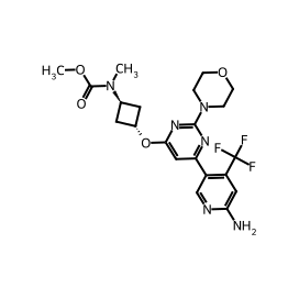 COC(=O)N(C)[C@H]1C[C@H](Oc2cc(-c3cnc(N)cc3C(F)(F)F)nc(N3CCOCC3)n2)C1